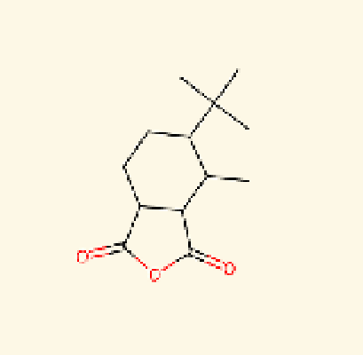 CC1C2C(=O)OC(=O)C2CCC1C(C)(C)C